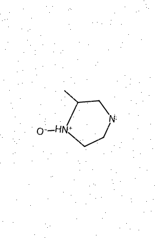 CC1C[N]CC[NH+]1[O-]